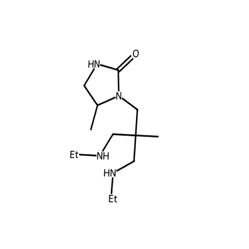 CCNCC(C)(CNCC)CN1C(=O)NCC1C